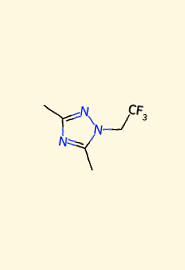 Cc1nc(C)n(CC(F)(F)F)n1